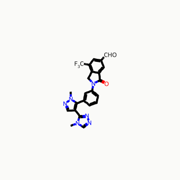 Cn1cnnc1-c1cnn(C)c1-c1cccc(N2Cc3c(cc(C=O)cc3C(F)(F)F)C2=O)c1